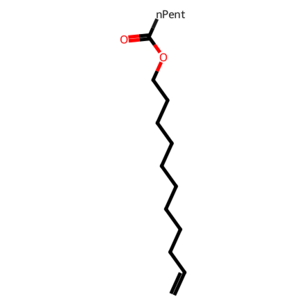 C=CCCCCCCCCCOC(=O)CCCCC